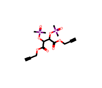 C#CCOC(=O)C(OP(C)(C)=O)C(OP(C)(C)=O)C(=O)OCC#C